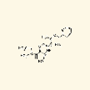 C[C@@H](OCc1ccccc1)[C@H](N)C(=O)N[C@@H](CO)C(=O)N[C@@H](CC(=O)O)C(=O)O